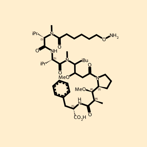 CCC(C)C(C(CC(=O)N1CCC[C@H]1[C@H](OC)[C@@H](C)C(=O)N[C@@H](Cc1ccccc1)C(=O)O)OC)N(C)C(=O)[C@@H](NC(=O)[C@H](C(C)C)N(C)C(=O)CCCCCON)C(C)C